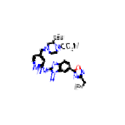 CC(C)Cc1noc(-c2ccc3nc(Nc4cc(CN5CCN(C(=O)O)C(C(C)(C)C)C5)ccn4)[nH]c3c2)n1